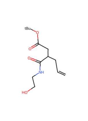 C=CCC(CC(=O)OC(C)(C)C)C(=O)NCCO